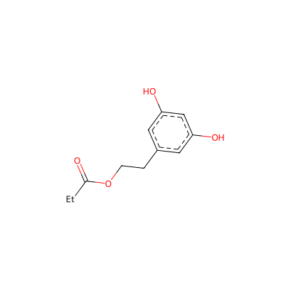 CCC(=O)OCCc1cc(O)cc(O)c1